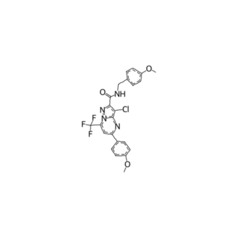 COc1ccc(CNC(=O)c2nn3c(C(F)(F)F)cc(-c4ccc(OC)cc4)nc3c2Cl)cc1